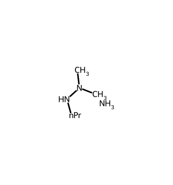 CCCNN(C)C.N